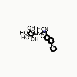 N#C/C(=C/c1ccc2cc(N3CCCCC3)ccc2c1)C(=O)NC[C@H]1OC(O)C(O)C(O)C1O